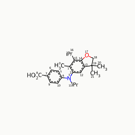 Cc1c(N(c2ccc(C(=O)O)cc2)C(C)C)cc2c(c1C(C)C)OCC2(C)C